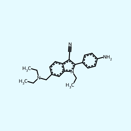 CCN(CC)Cc1ccc2c(C#N)c(-c3ccc(N)cc3)n(CC)c2c1